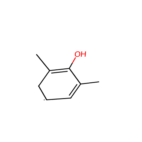 CC1=C[CH]CC(C)=C1O